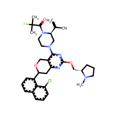 C=C(C#N)[C@H]1CN(c2nc(OC[C@@H]3CCCN3C)nc3c2COC(c2cccc4cccc(Cl)c24)C3)CCN1C(=O)C(C)(C)F